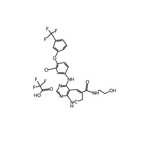 O=C(NCCO)C1=Cc2c(ncnc2Nc2ccc(Oc3cccc(C(F)(F)F)c3)c(Cl)c2)NCC1.O=C(O)C(F)(F)F